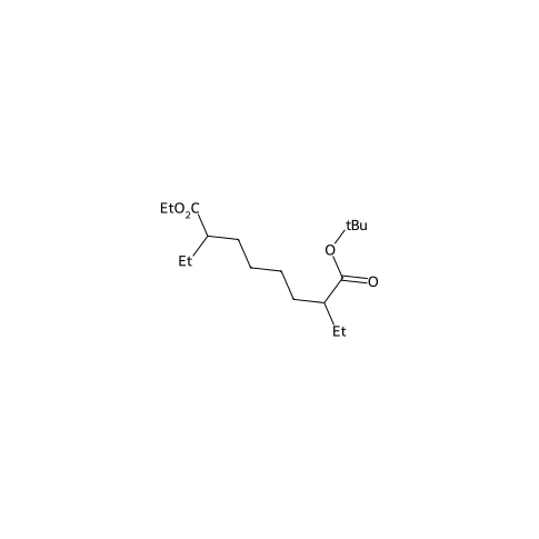 CCOC(=O)C(CC)CCCCC(CC)C(=O)OC(C)(C)C